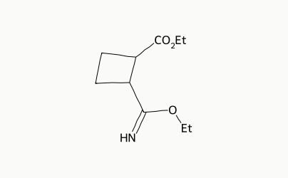 CCOC(=N)C1CCC1C(=O)OCC